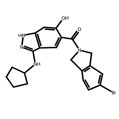 O=C(c1cc2c(NC3CCCC3)n[nH]c2cc1O)N1Cc2ccc(Br)cc2C1